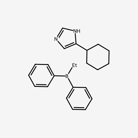 CCB(c1ccccc1)c1ccccc1.c1ncc(C2CCCCC2)[nH]1